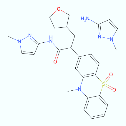 CN1c2ccccc2S(=O)(=O)c2ccc(C(CC3CCOC3)C(=O)Nc3ccn(C)n3)cc21.Cn1ccc(N)n1